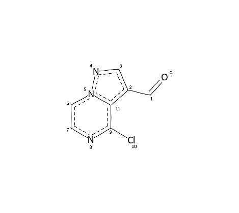 O=Cc1cnn2ccnc(Cl)c12